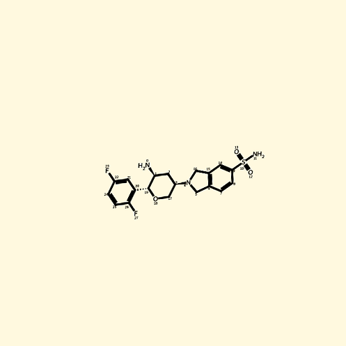 N[C@H]1C[C@@H](N2Cc3ccc(S(N)(=O)=O)cc3C2)CO[C@@H]1c1cc(F)ccc1F